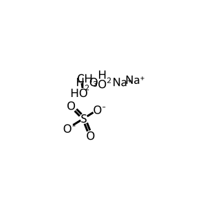 CO.O.O.O=S(=O)([O-])[O-].[Na+].[Na+]